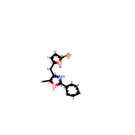 Cc1oc(-c2ccccc2)nc1Cc1ccc(Br)o1